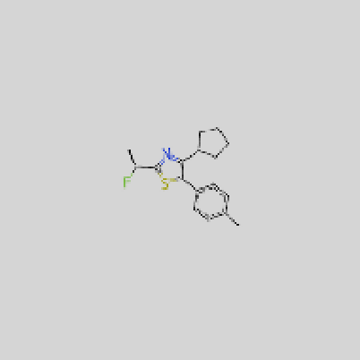 Cc1ccc(-c2sc([C@H](C)F)nc2C2CCCC2)cc1